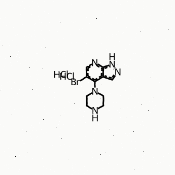 Brc1cnc2[nH]ncc2c1N1CCNCC1.Cl.Cl